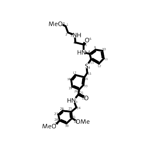 COCCNCC(=O)Nc1ccccc1SCc1cccc(C(=O)NCc2ccc(OC)cc2OC)c1